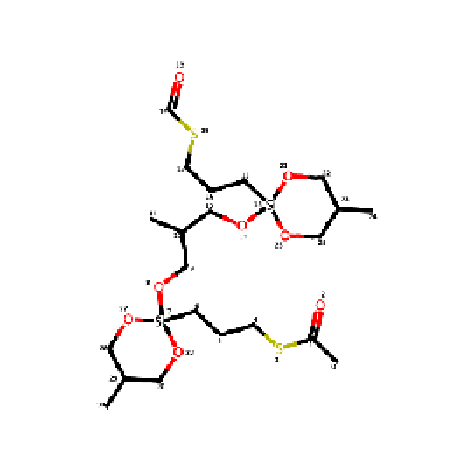 CC(=O)SCCC[Si]1(OCC(C)CO[Si]2(CCCSC=O)OCC(C)CO2)OCC(C)CO1